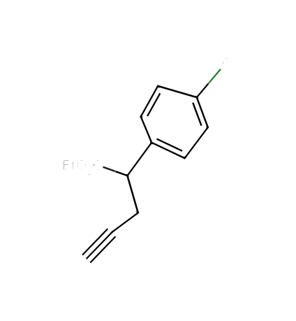 C#CCC(C(=O)OCC)c1ccc(Cl)cc1